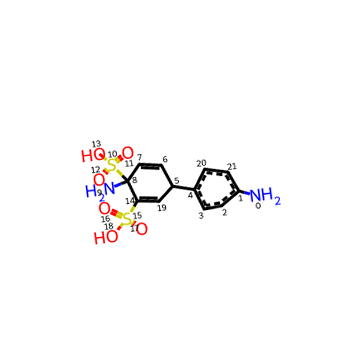 Nc1ccc(C2C=CC(N)(S(=O)(=O)O)C(S(=O)(=O)O)=C2)cc1